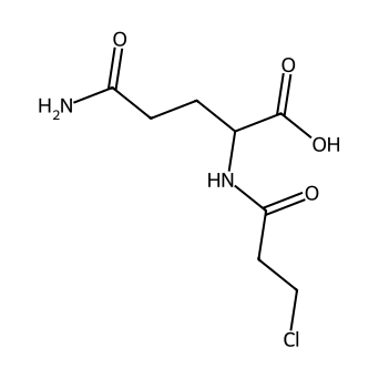 NC(=O)CCC(NC(=O)CCCl)C(=O)O